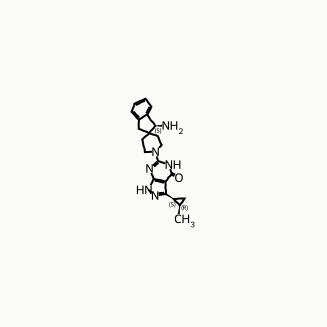 C[C@@H]1C[C@@H]1c1n[nH]c2nc(N3CCC4(CC3)Cc3ccccc3[C@H]4N)[nH]c(=O)c12